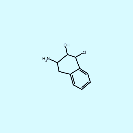 NC1Cc2ccccc2C(Cl)C1O